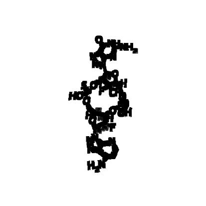 C[C@]1(F)[C@H]2COP(=O)(O)O[C@H]3[C@H](F)[C@H](n4nnc5c(N)ccnc54)O[C@@H]3COP(O)(=S)O[C@H]1[C@H](n1nnc3c(=O)[nH]c(N)nc31)O2